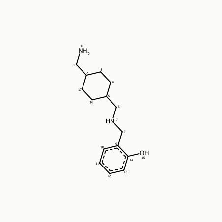 NCC1CCC(CNCc2ccccc2O)CC1